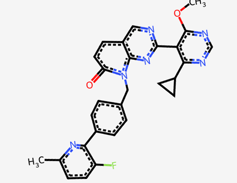 COc1ncnc(C2CC2)c1-c1ncc2ccc(=O)n(Cc3ccc(-c4nc(C)ccc4F)cc3)c2n1